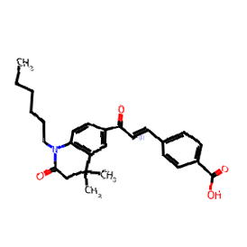 CCCCCCN1C(=O)CC(C)(C)c2cc(C(=O)/C=C/c3ccc(C(=O)O)cc3)ccc21